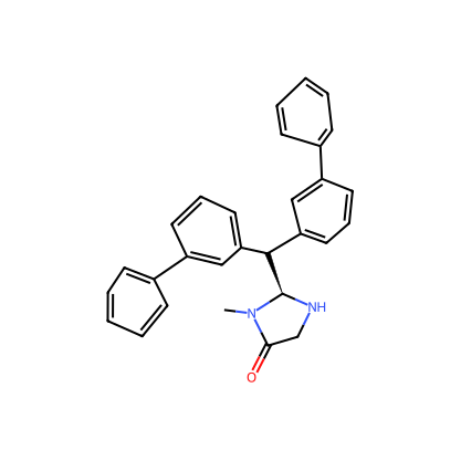 CN1C(=O)CN[C@@H]1C(c1cccc(-c2ccccc2)c1)c1cccc(-c2ccccc2)c1